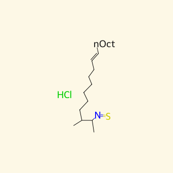 CCCCCCCCC=CCCCCCCC(C)C(C)N=S.Cl